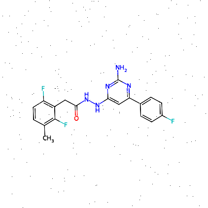 Cc1ccc(F)c(CC(=O)NNc2cc(-c3ccc(F)cc3)nc(N)n2)c1F